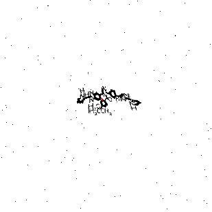 CC(C)(C)c1ccc([C@@H]2Oc3cc(-c4cnc(-c5ccc[nH]5)[nH]4)ccc3-c3ncc(-c4ccc5nc(-c6ccc[nH]6)[nH]c5c4)n32)cc1